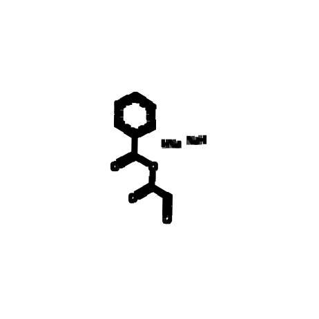 O=CC(=O)OC(=O)c1ccccc1.[NaH].[NaH]